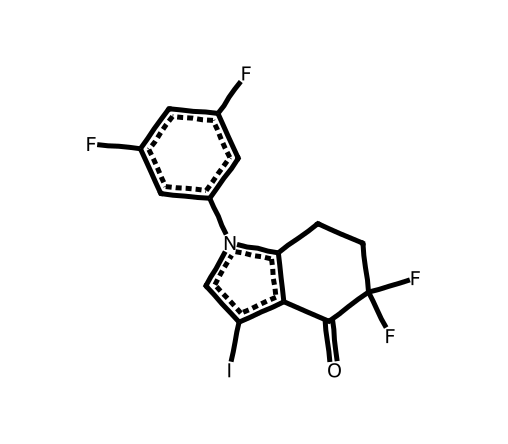 O=C1c2c(I)cn(-c3cc(F)cc(F)c3)c2CCC1(F)F